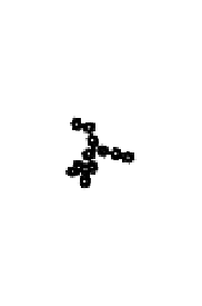 c1ccc(-c2ccc(-c3ccc(N(c4ccc(-c5cccc(-c6ccccc6)c5)cc4)c4cccc(-c5cccc6c5c5ccc7ccccc7c5n6-c5ccccc5)c4)cc3)cc2)cc1